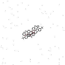 CC(C)(C)c1ccc2c(c1)C1(c3ccccc3Oc3ccc(N(c4ccc5c(c4)C4(c6ccccc6O5)c5cc(C(C)(C)C)ccc5-c5ccc(C(C)(C)C)cc54)c4cccc5sc6ccccc6c45)cc31)c1cc(C(C)(C)C)ccc1-2